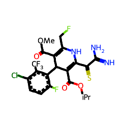 COC(=O)C1=C(CF)NC(C(=S)C(=N)N)=C(C(=O)OC(C)C)C1c1c(F)ccc(Cl)c1C(F)(F)F